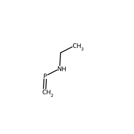 C=PNCC